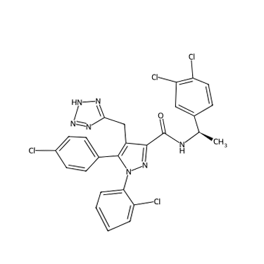 C[C@@H](NC(=O)c1nn(-c2ccccc2Cl)c(-c2ccc(Cl)cc2)c1Cc1nn[nH]n1)c1ccc(Cl)c(Cl)c1